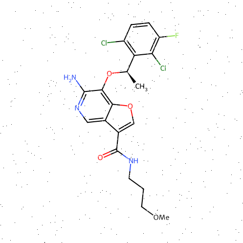 COCCCNC(=O)c1coc2c(O[C@H](C)c3c(Cl)ccc(F)c3Cl)c(N)ncc12